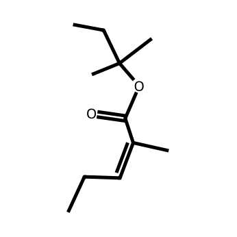 CCC=C(C)C(=O)OC(C)(C)CC